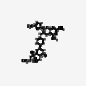 CCOC(=O)CS(=O)(=O)c1cc(-c2ccc(CN(Cc3ccc(C(F)(F)F)o3)Cc3c(C)nc(C)nc3C)cc2)cc(F)c1CO